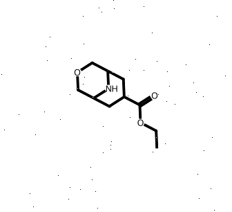 CCOC(=O)C1CC2COCC(C1)N2